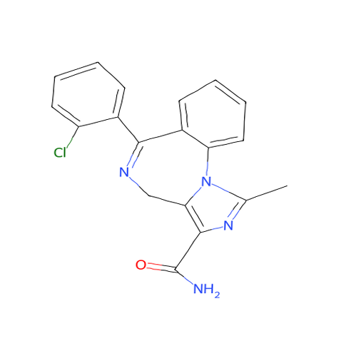 Cc1nc(C(N)=O)c2n1-c1ccccc1C(c1ccccc1Cl)=NC2